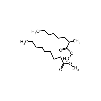 CCCCCCC(C)C(=O)OC.CCCCCCCCC(=O)OC